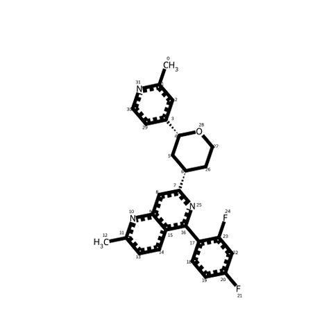 Cc1cc([C@H]2C[C@@H](c3cc4nc(C)ccc4c(-c4ccc(F)cc4F)n3)CCO2)ccn1